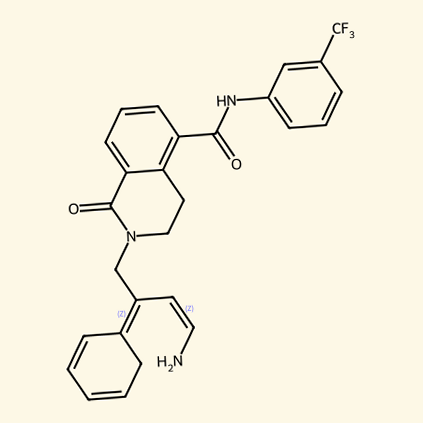 N/C=C\C(CN1CCc2c(C(=O)Nc3cccc(C(F)(F)F)c3)cccc2C1=O)=C1\C=CC=CC1